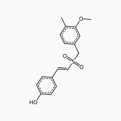 COc1cc(CS(=O)(=O)C=Cc2ccc(O)cc2)ccc1C